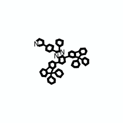 c1ccc(-c2nc3c(-c4ccc5c(c4)C(c4ccccc4)(c4ccccc4)c4ccccc4-5)ccc(-c4ccc5c(c4)C(c4ccccc4)(c4ccccc4)c4ccccc4-5)c3nc2-c2ccc(-c3cccnc3)cc2)cc1